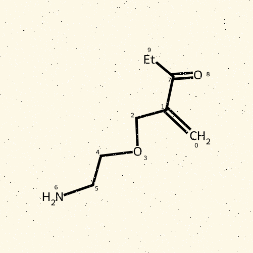 C=C(COCCN)C(=O)CC